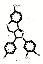 Cc1cc(N2N=C3c4ccc(C(=O)O)cc4OCC3C2c2ccc(F)cc2)ccc1C#N